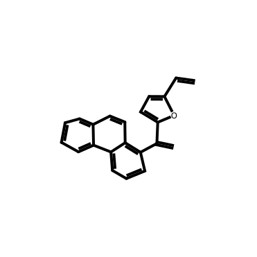 C=Cc1ccc(C(=C)c2cccc3c2ccc2ccccc23)o1